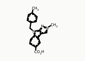 Cc1ccc(Cn2c3ccc(C(=O)O)cc3c3cn(C)nc32)cc1